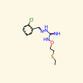 CCSCCONC(=N)NN=Cc1ccccc1Cl